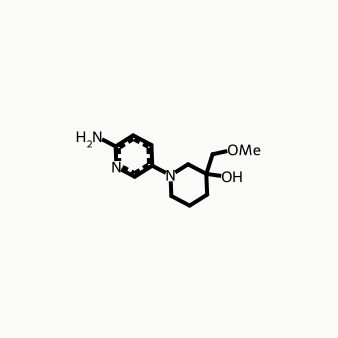 COCC1(O)CCCN(c2ccc(N)nc2)C1